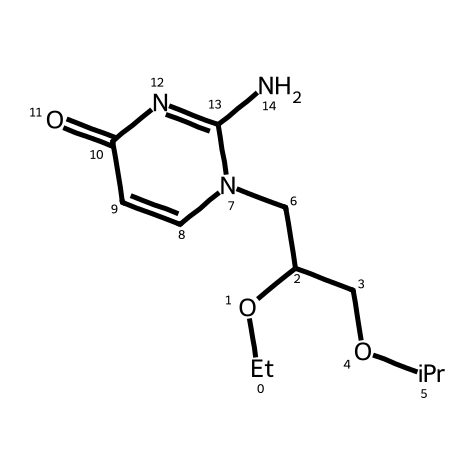 CCOC(COC(C)C)Cn1ccc(=O)nc1N